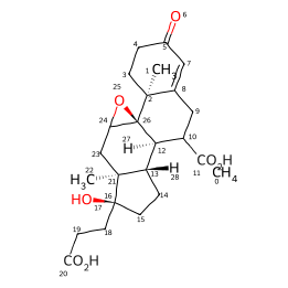 C.C[C@]12CCC(=O)C=C1CC(C(=O)O)[C@H]1[C@@H]3CC[C@](O)(CCC(=O)O)[C@@]3(C)CC3O[C@]312